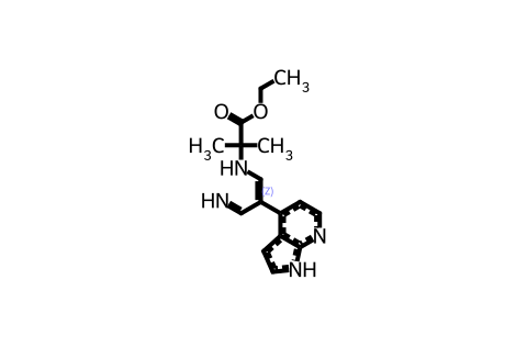 CCOC(=O)C(C)(C)N/C=C(\C=N)c1ccnc2[nH]ccc12